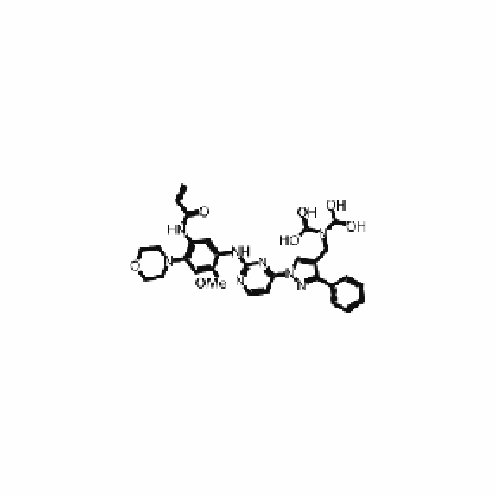 C=CC(=O)Nc1cc(Nc2nccc(-n3cc(CN(C(O)O)C(O)O)c(-c4ccccc4)n3)n2)c(OC)cc1N1CCOCC1